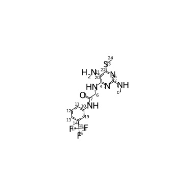 CNc1nc(NCC(=O)Nc2cccc(C(F)(F)F)c2)c(N)c(SC)n1